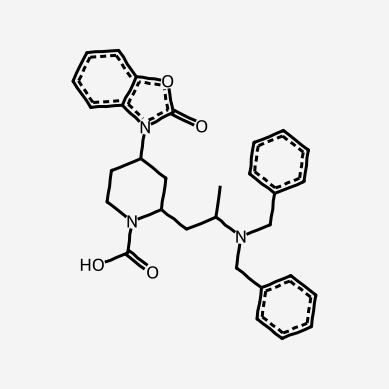 CC(CC1CC(n2c(=O)oc3ccccc32)CCN1C(=O)O)N(Cc1ccccc1)Cc1ccccc1